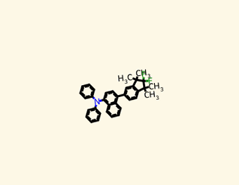 CC1(C)c2ccc(-c3ccc(N(c4ccccc4)c4ccccc4)c4ccccc34)cc2C(C)(C)C1(F)F